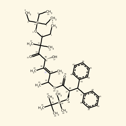 CCC(O[Si](CC)(CC)CC)C(C)(C)C(=O)[C@H](O)/C(C)=C(\C)C(C)OC(=O)[C@H](O[Si](C)(C)C(C)(C)C)C(c1ccccc1)c1ccccc1